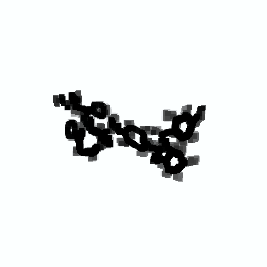 CN(c1nccc(=O)n1C(=O)CN)C1CCN(c2nc3ccccc3n2Cc2ccc(F)cc2)CC1